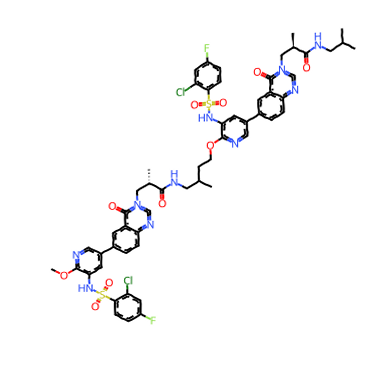 COc1ncc(-c2ccc3ncn(C[C@H](C)C(=O)NCC(C)CCOc4ncc(-c5ccc6ncn(C[C@@H](C)C(=O)NCC(C)C)c(=O)c6c5)cc4NS(=O)(=O)c4ccc(F)cc4Cl)c(=O)c3c2)cc1NS(=O)(=O)c1ccc(F)cc1Cl